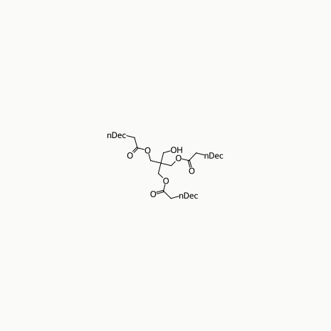 CCCCCCCCCCCC(=O)OCC(CO)(COC(=O)CCCCCCCCCCC)COC(=O)CCCCCCCCCCC